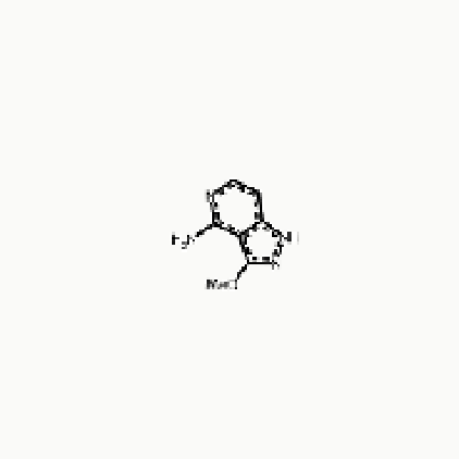 COc1n[nH]c2ccnc(N)c12